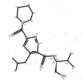 CC(C)Cc1cc(C(=O)N2CCCCC2)nnc1C(=O)N[C@H](CO)C(C)C